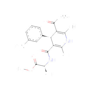 COC(=O)C1=C(C)NC(C)=C(C(=O)N[C@@H](C)C(=O)OC(C)(C)C)[C@H]1c1cccc([N+](=O)[O-])c1